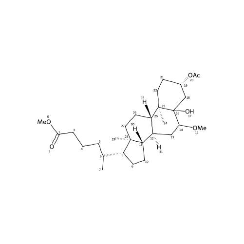 COC(=O)CCCC(C)[C@H]1CC[C@H]2[C@@H]3CC(OC)C4(O)C[C@@H](OC(C)=O)CC[C@]4(C)[C@H]3CC[C@]12C